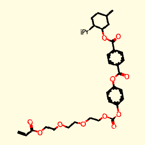 C=CC(=O)OCCOCCOCCOC(=O)Oc1ccc(OC(=O)c2ccc(C(=O)OC3CC(C)CCC3C(C)C)cc2)cc1